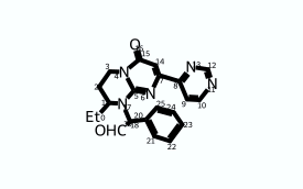 CCC1CCn2c(nc(-c3ccncn3)cc2=O)N1C(C=O)c1ccccc1